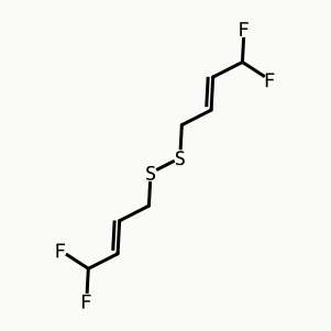 FC(F)C=CCSSCC=CC(F)F